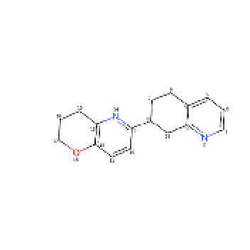 c1cnc2c(c1)CCC(c1ccc3c(n1)CCCO3)C2